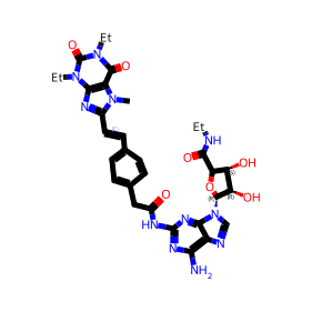 CCNC(=O)C1O[C@@H](n2cnc3c(N)nc(NC(=O)Cc4ccc(/C=C/c5nc6c(c(=O)n(CC)c(=O)n6CC)n5C)cc4)nc32)[C@H](O)[C@@H]1O